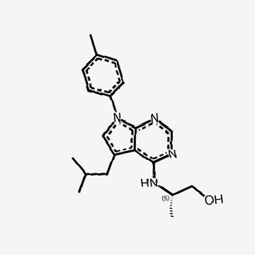 Cc1ccc(-n2cc(CC(C)C)c3c(N[C@@H](C)CO)ncnc32)cc1